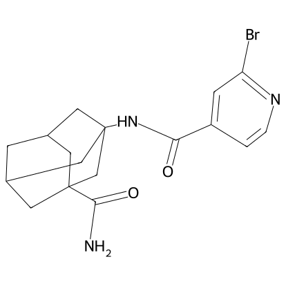 NC(=O)C12CC3CC(CC(NC(=O)c4ccnc(Br)c4)(C3)C1)C2